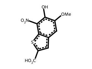 COc1cc2cc(C(=O)O)sc2c([N+](=O)[O-])c1O